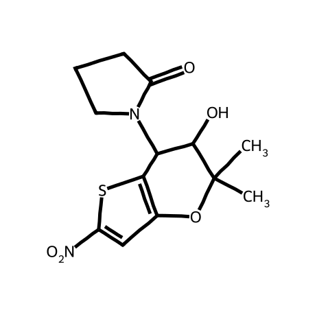 CC1(C)Oc2cc([N+](=O)[O-])sc2C(N2CCCC2=O)C1O